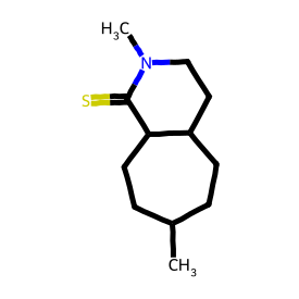 CC1CCC2CCN(C)C(=S)C2CC1